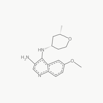 COc1ccc2ncc(N)c(N[C@H]3CCO[C@@H](C)C3)c2c1